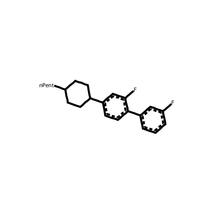 CCCCCC1CCC(c2ccc(-c3cccc(F)c3)c(F)c2)CC1